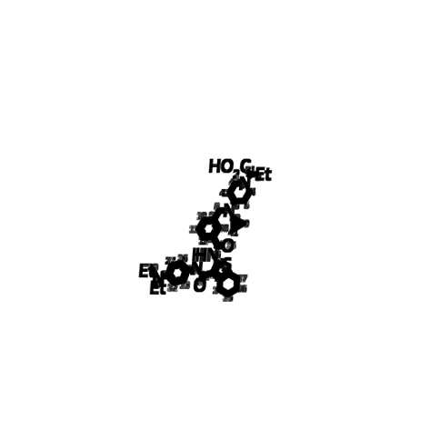 CCC(C(=O)O)N1CCC(N(Cc2cccc(C(=O)Nc3sc4c(c3C(=O)Nc3ccc(N(CC)CC)cc3)CCCC4)c2)C2CC2)CC1